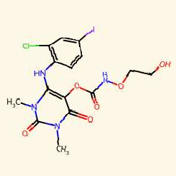 Cn1c(Nc2ccc(I)cc2Cl)c(OC(=O)NOCCO)c(=O)n(C)c1=O